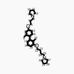 Cc1cc(OCCCN2CCCC2)ccc1-c1cccc(OCCCCN2CCCC2)c1C